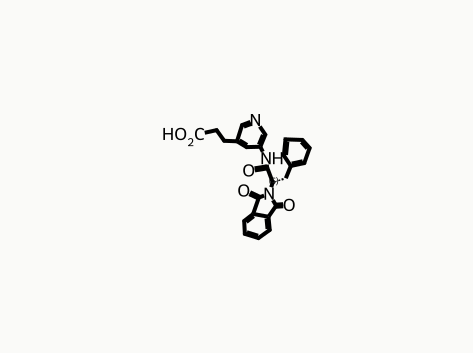 O=C(O)CCc1cncc(NC(=O)[C@H](Cc2ccccc2)N2C(=O)c3ccccc3C2=O)c1